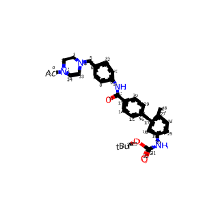 CC(=O)N1CCN(Cc2ccc(NC(=O)c3ccc(-c4cc(NC(=O)OC(C)(C)C)ccc4C)cc3)cc2)CC1